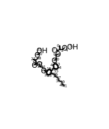 C=C(COCO)C(=O)OCCOc1cccc(-c2cc(OCCOC(=O)C(=C)COCO)ccc2CCCCCCC)c1